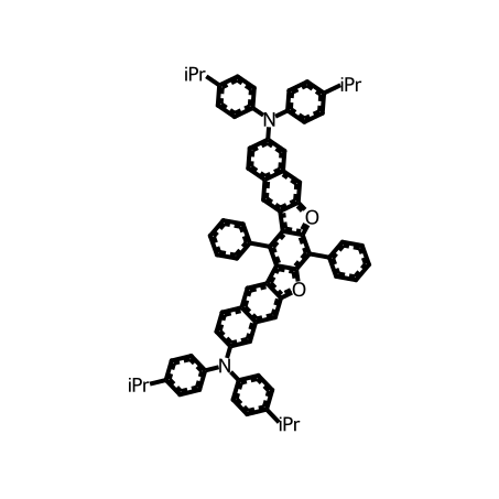 CC(C)c1ccc(N(c2ccc(C(C)C)cc2)c2ccc3cc4c(cc3c2)oc2c(-c3ccccc3)c3oc5cc6cc(N(c7ccc(C(C)C)cc7)c7ccc(C(C)C)cc7)ccc6cc5c3c(-c3ccccc3)c24)cc1